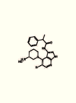 CC(C(=O)Nc1c[nH]c2ncc(Br)c(N3CCCC(N)C3)c12)c1ccccc1.Cl